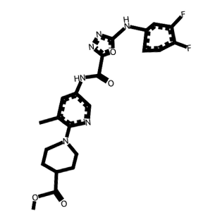 COC(=O)C1CCN(c2ncc(NC(=O)c3nnc(Nc4ccc(F)c(F)c4)o3)cc2C)CC1